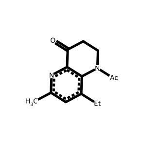 CCc1cc(C)nc2c1N(C(C)=O)CCC2=O